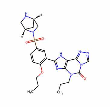 CCCOc1ccc(S(=O)(=O)N2C[C@@H]3C[C@H]2CN3)cc1-c1nc2c([nH]1)c1nncn1c(=O)n2CCC